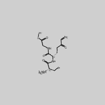 CC(=O)N[C@@H](CC(C)C)C(=O)N[C@@H](CCC(=O)C=N)C(=O)NCC(=O)OC(C)C